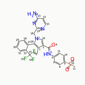 Cc1c(C(=O)Nc2ccc(S(C)(=O)=O)cc2)cn(Cc2nccc(N)n2)c1-c1ccccc1C(F)(F)F